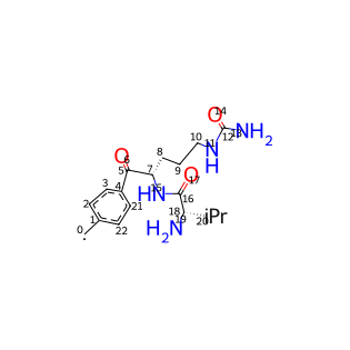 [CH2]c1ccc(C(=O)[C@H](CCCNC(N)=O)NC(=O)[C@@H](N)C(C)C)cc1